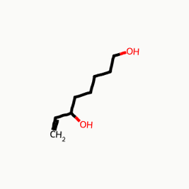 C=CC(O)CCCCCO